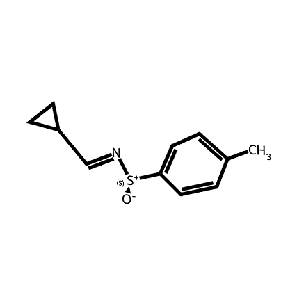 Cc1ccc([S@@+]([O-])N=CC2CC2)cc1